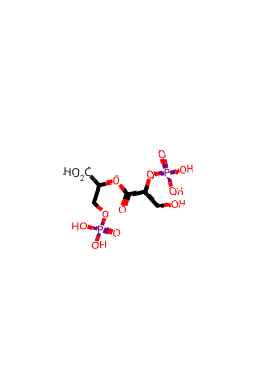 O=C(O)C(COP(=O)(O)O)OC(=O)C(CO)OP(=O)(O)O